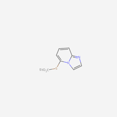 CCOC(=O)Sc1cccc2nccn12